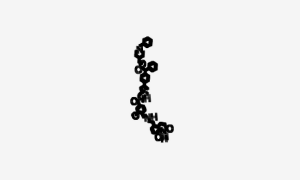 COc1cc(C(=O)NCc2cc(-c3ccc(C(C(=O)OCC4CCN(Cc5ccccc5)CC4)c4ccccc4)cc3)cs2)ccc1CNCCc1ccc(O)c2[nH]c(=O)ccc12